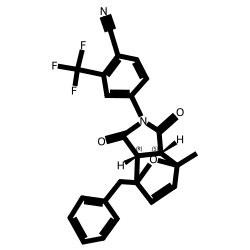 CC12C=CC(Cc3ccccc3)(O1)[C@@H]1C(=O)N(c3ccc(C#N)c(C(F)(F)F)c3)C(=O)[C@@H]12